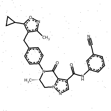 Cc1noc(C2CC2)c1Cc1ccc(N2C(=O)c3c(C(=O)Nc4cccc(C#N)c4)cnn3C[C@@H]2C)cc1